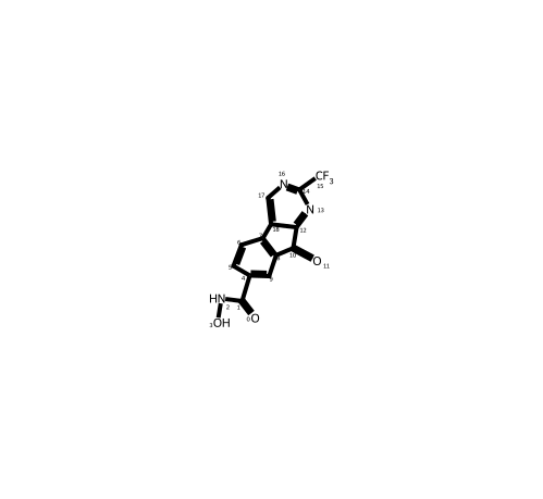 O=C(NO)c1ccc2c(c1)C(=O)c1nc(C(F)(F)F)ncc1-2